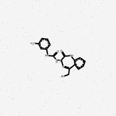 Cc1cccc(NC(=O)N[C@@H]2N=C(CC(C)C)c3ccccc3NC2=O)c1